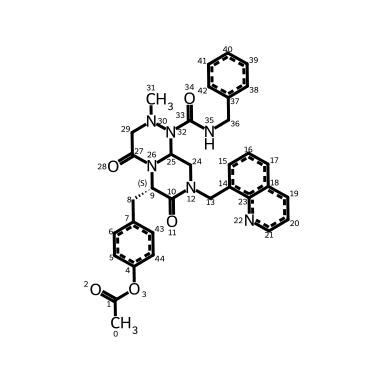 CC(=O)Oc1ccc(C[C@H]2C(=O)N(Cc3cccc4cccnc34)CC3N2C(=O)CN(C)N3C(=O)NCc2ccccc2)cc1